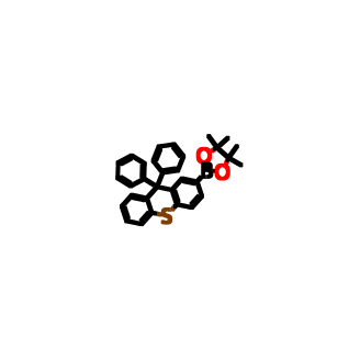 CC1(C)OB(c2ccc3c(c2)C(c2ccccc2)(c2ccccc2)c2ccccc2S3)OC1(C)C